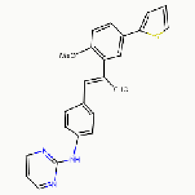 COc1ccc(-c2cccs2)cc1C(C=O)=Cc1ccc(Nc2ncccn2)cc1